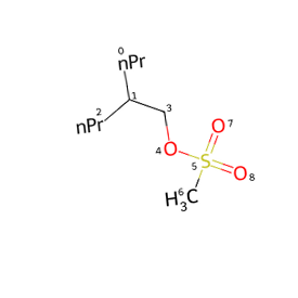 CCCC(CCC)COS(C)(=O)=O